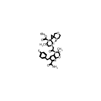 C[C@@H]1CN(CC(=O)N2c3cc(Cc4ccc(F)cc4)c(C(N)=O)nc3OC[C@@H]2C)[C@@H](CN2CCOCC23CC3)CN1C(=O)OC(C)(C)C